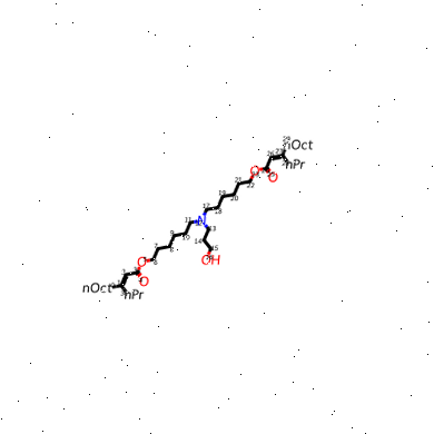 CCCCCCCCC(=CC(=O)OCCCCCCN(CCCO)CCCCCCOC(=O)/C=C(\CCC)CCCCCCCC)CCC